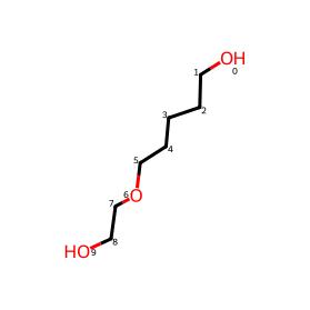 OCCCCCOCCO